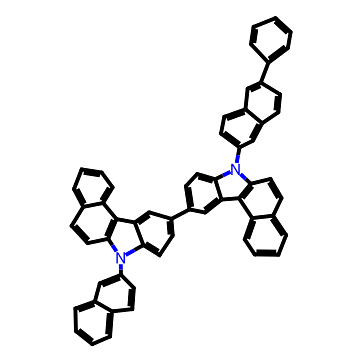 c1ccc(-c2ccc3cc(-n4c5ccc(-c6ccc7c(c6)c6c8ccccc8ccc6n7-c6ccc7ccccc7c6)cc5c5c6ccccc6ccc54)ccc3c2)cc1